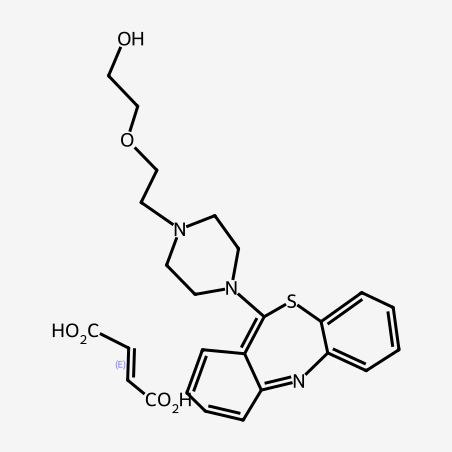 O=C(O)/C=C/C(=O)O.OCCOCCN1CCN(C2=c3ccccc3=Nc3ccccc3S2)CC1